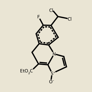 CCOC(=O)C1=C2N(C=C[S+]2[O-])c2cc(C(Cl)Cl)c(F)cc2C1